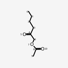 CCCCC(=O)COC(C)=O